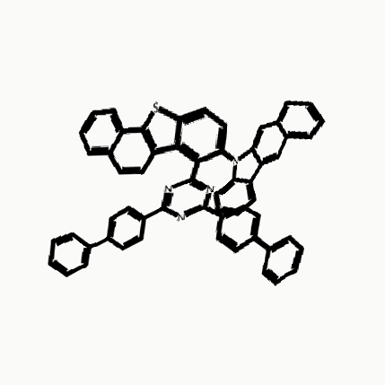 c1ccc(-c2ccc(-c3nc(-c4ccc(-c5ccccc5)cc4)nc(-c4c(-n5c6ccccc6c6cc7ccccc7cc65)ccc5sc6c7ccccc7ccc6c45)n3)cc2)cc1